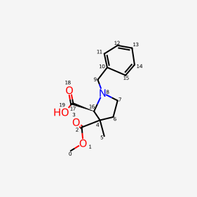 COC(=O)C1(C)CCN(Cc2ccccc2)[C@@H]1C(=O)O